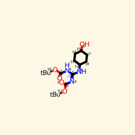 CC(C)(C)OC(=O)/N=C(\NC(=O)OC(C)(C)C)NC1CCC(O)CC1